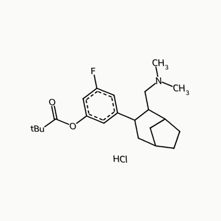 CN(C)CC1C2CCC(C2)CC1c1cc(F)cc(OC(=O)C(C)(C)C)c1.Cl